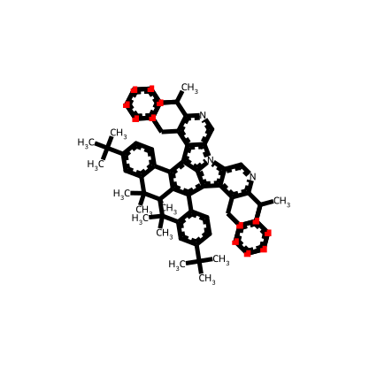 CC(C)(C)c1ccc2c(c1)C(C)(C)C1(C)c3c-2c2c4c5c(ncc4n4c6cnc7c(c6c(c3-c3ccc(C(C)(C)C)cc3C1(C)C)c24)C1c2ccccc2C7(C)c2ccccc21)C1(C)c2ccccc2C5c2ccccc21